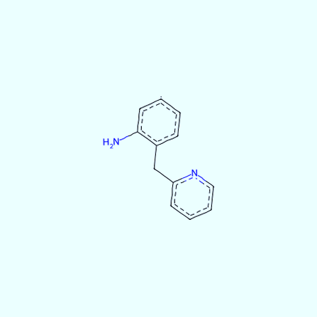 Nc1c[c]ccc1Cc1ccccn1